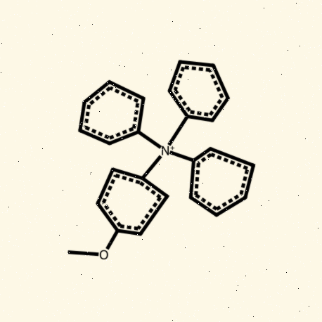 COc1ccc([N+](c2ccccc2)(c2ccccc2)c2ccccc2)cc1